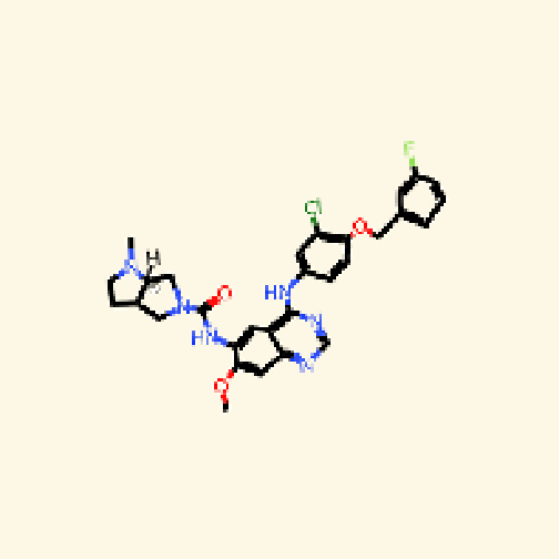 COc1cc2ncnc(Nc3ccc(OCc4cccc(F)c4)c(Cl)c3)c2cc1NC(=O)N1CC2CCN(C)[C@@H]2C1